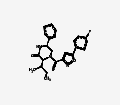 CCC(C)[C@H]1C(=O)N[C@@H](c2ccccc2)CN1C(=O)c1cc(-c2ccc(F)cc2)on1